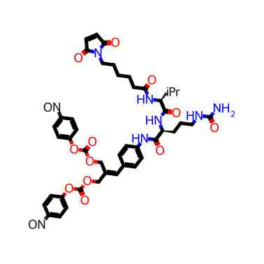 CC(C)[C@H](NC(=O)CCCCCN1C(=O)C=CC1=O)C(=O)N[C@@H](CCCNC(N)=O)C(=O)Nc1ccc(C=C(COC(=O)Oc2ccc(N=O)cc2)COC(=O)Oc2ccc(N=O)cc2)cc1